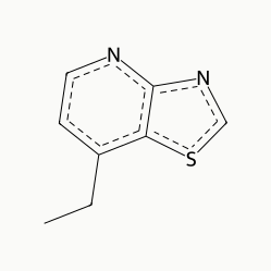 CCc1ccnc2ncsc12